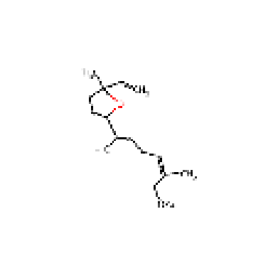 C=CC1(C)CCC(C(C)CCC=C(C)COC(C)=O)O1